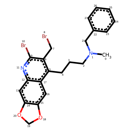 CN(CCCc1c(CBr)c(Br)nc2cc3c(cc12)OCO3)Cc1ccccc1